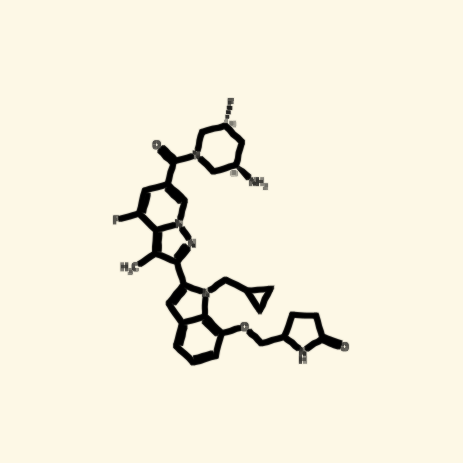 Cc1c(-c2cc3cccc(OCC4CCC(=O)N4)c3n2CC2CC2)nn2cc(C(=O)N3C[C@H](N)C[C@@H](F)C3)cc(F)c12